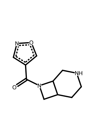 O=C(c1cnoc1)N1CC2CCNCC21